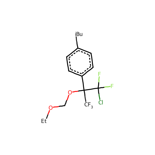 CCOCOC(c1ccc(C(C)CC)cc1)(C(F)(F)F)C(F)(F)Cl